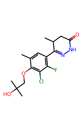 Cc1cc(C2=NNC(=O)CC2C)c(F)c(Cl)c1OCC(C)(C)O